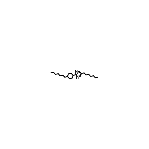 CCCCCCCc1cnc(C2CCC(CCCCCCC)CC2)nc1